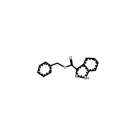 O=C(OCc1ccccc1)c1n[nH]c2ccccc12